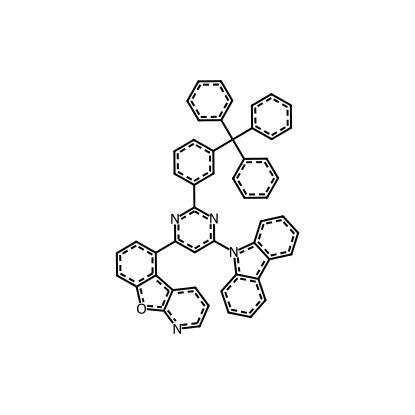 c1ccc(C(c2ccccc2)(c2ccccc2)c2cccc(-c3nc(-c4cccc5oc6ncccc6c45)cc(-n4c5ccccc5c5ccccc54)n3)c2)cc1